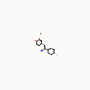 CCOc1cc(C=C(C#N)c2ccc(OC)c(N)c2)ccc1OC